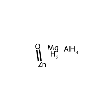 [AlH3].[MgH2].[O]=[Zn]